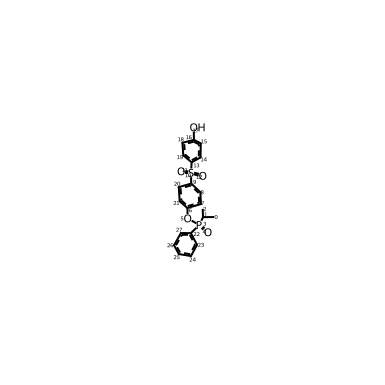 CC(C)P(=O)(Oc1ccc(S(=O)(=O)c2ccc(O)cc2)cc1)c1ccccc1